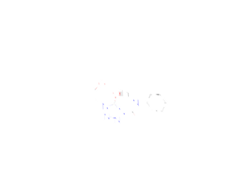 CC(C)N(C(=O)n1nnn(C2CCCC2=O)c1=O)c1ccc(F)cc1